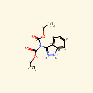 O=C(OCC(Cl)(Cl)Cl)N(C(=O)OCC(Cl)(Cl)Cl)c1n[nH]c2ccccc12